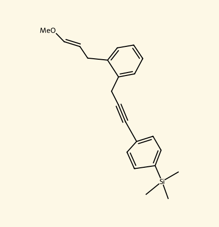 COC=CCc1ccccc1CC#Cc1ccc([Si](C)(C)C)cc1